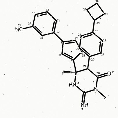 CN1C(=N)N[C@](C)(c2cc(-c3cccc(C#N)c3)cs2)C(c2ccc(C3CCC3)cc2)C1=O